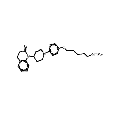 CC(=O)NCCCCCOc1ccc(N2CCC(N3C(=O)CCc4ccccc43)CC2)cc1